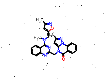 Cc1cc(CN(C)c2nc(Cn3c(=O)c4ccccc4n4nc(C)cc34)nc3ccccc23)on1